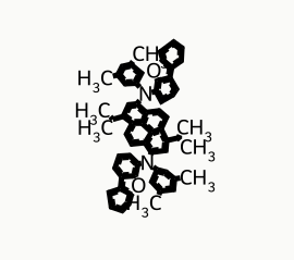 Cc1cc(C)cc(N(c2cc(C(C)C)c3ccc4c(N(c5cc(C)cc(C)c5)c5cccc6c5oc5ccccc56)cc(C(C)C)c5ccc2c3c54)c2cccc3c2oc2ccccc23)c1